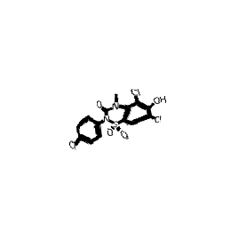 CN1C(=O)N(c2ccc(Cl)cc2)S(=O)(=O)c2cc(Cl)c(O)c(Cl)c21